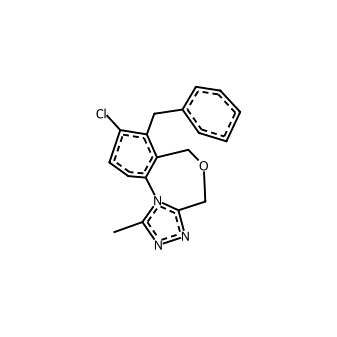 Cc1nnc2n1-c1ccc(Cl)c(Cc3ccccc3)c1COC2